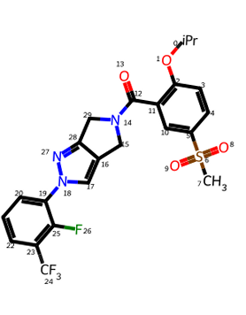 CC(C)Oc1ccc(S(C)(=O)=O)cc1C(=O)N1Cc2cn(-c3cccc(C(F)(F)F)c3F)nc2C1